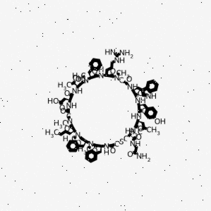 CCCC[C@H]1C(=O)N(C)CC(=O)N[C@@H](CC(=O)O)C(=O)N[C@@H](C(C)C)C(=O)N(C)[C@@H](Cc2ccccc2)C(=O)NC(CCCNC(=N)N)C(=O)N(C)CC(=O)N[C@@H](Cc2c[nH]c3ccccc23)C(=O)N[C@@H](Cc2ccc(O)cc2)C(=O)N[C@@H](CC(C)C)C(=O)N[C@H](C(=O)NCC(N)=O)CSCC(=O)N[C@@H](Cc2ccccc2)C(=O)N(C)[C@@H](Cc2ccccc2)C(=O)N1C